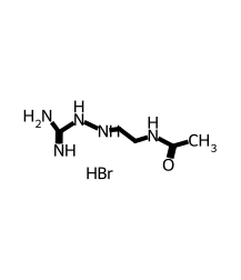 Br.CC(=O)NCCNNC(=N)N